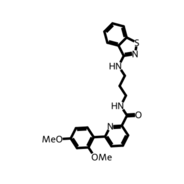 COc1ccc(-c2cccc(C(=O)NCCCNc3nsc4ccccc34)n2)c(OC)c1